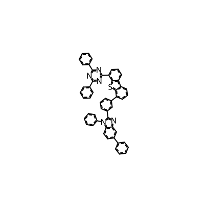 c1ccc(-c2ccc3c(c2)nc(-c2cccc(-c4cccc5c4sc4c(-c6nc(-c7ccccc7)nc(-c7ccccc7)n6)cccc45)c2)n3-c2ccccc2)cc1